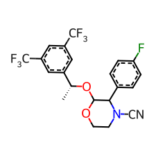 C[C@@H](OC1OCCN(C#N)C1c1ccc(F)cc1)c1cc(C(F)(F)F)cc(C(F)(F)F)c1